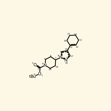 CC(C)(C)OC(=O)N1CCC(n2cc(C3=CCCCC3)cn2)CC1